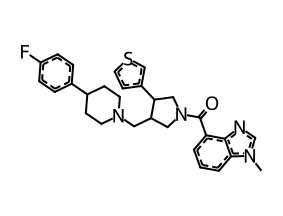 Cn1cnc2c(C(=O)N3CC(CN4CCC(c5ccc(F)cc5)CC4)C(c4ccsc4)C3)cccc21